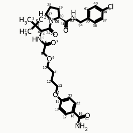 CC(C)(C)[C@H](NC(=O)COCCCCOc1ccc(C(N)=O)cc1)C(=O)N1CCC[C@H]1C(=O)NCc1ccc(Cl)cc1